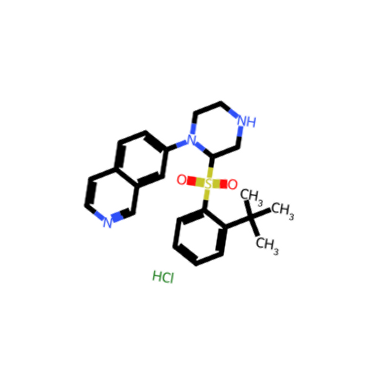 CC(C)(C)c1ccccc1S(=O)(=O)C1CNCCN1c1ccc2ccncc2c1.Cl